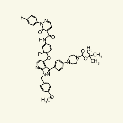 COc1ccc(Cn2nc(-c3ccc(N4CCN(C(=O)OC(C)(C)C)CC4)cc3)c3c(Oc4ccc(NC(=O)c5ccnn(-c6ccc(F)cc6)c5=O)cc4F)ccnc32)cc1